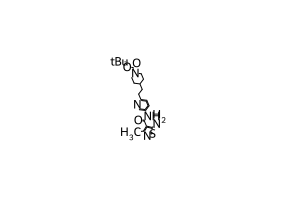 Cc1nsc(N)c1C(=O)Nc1ccc(CCC2CCN(C(=O)OC(C)(C)C)CC2)nc1